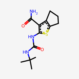 CC(C)(C)NC(=O)Nc1sc2c(c1C(N)=O)CCC2